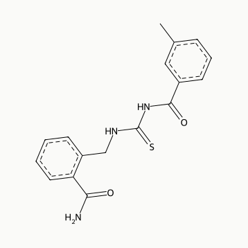 Cc1cccc(C(=O)NC(=S)NCc2ccccc2C(N)=O)c1